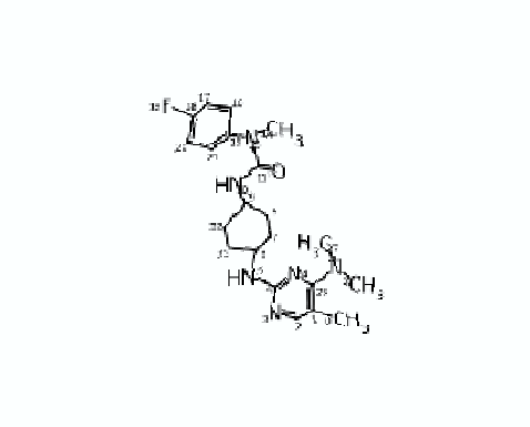 Cc1cnc(NC2CCC(NC(=O)N(C)c3ccc(F)cc3)CC2)nc1N(C)C